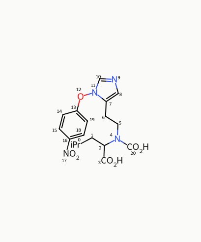 CC(C)CC(C(=O)O)N(CCc1cncn1Oc1ccc([N+](=O)[O-])cc1)C(=O)O